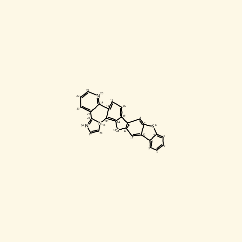 c1ccc2c(c1)sc1cc3c(cc12)sc1c3ccc2c3ncccc3c3nccn3c21